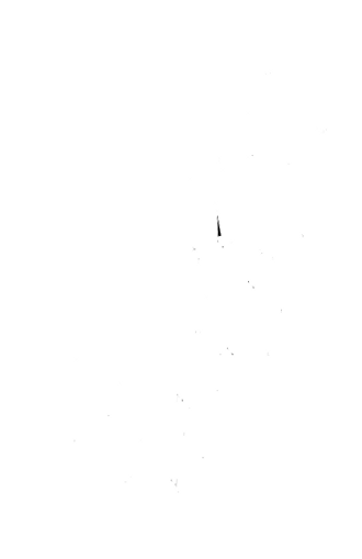 O=C(Nc1oncc1-c1ccccc1)N1CCN2C(=O)N([C@H]3C[C@@H]3c3ccccc3)C(=O)C2C1